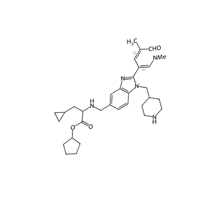 CN/C=C(\C=C(\C)C=O)c1nc2cc(CNC(CC3CC3)C(=O)OC3CCCC3)ccc2n1CC1CCNCC1